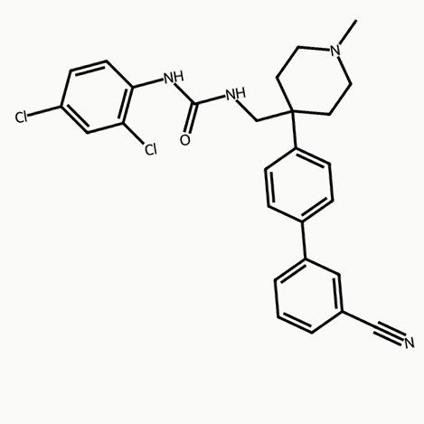 CN1CCC(CNC(=O)Nc2ccc(Cl)cc2Cl)(c2ccc(-c3cccc(C#N)c3)cc2)CC1